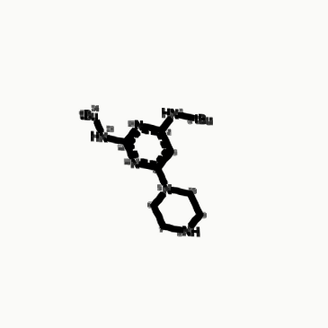 CC(C)(C)Nc1cc(N2CCNCC2)nc(NC(C)(C)C)n1